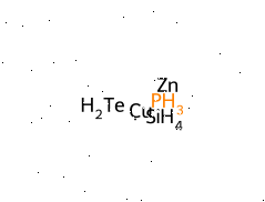 P.[Cu].[SiH4].[TeH2].[Zn]